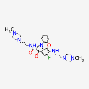 CN1CCN(CCCNC(=O)c2cn3c4c(c(NCCCN5CCN(C)CC5)c(F)cc4c2=O)Oc2ccccc2-3)CC1